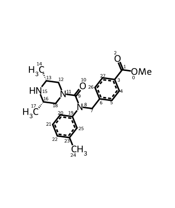 COC(=O)c1ccc(CN(C(=O)N2C[C@@H](C)N[C@@H](C)C2)c2cccc(C)c2)cc1